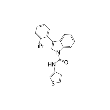 CC(C)c1ccccc1-c1cn(C(=O)Nc2ccsc2)c2ccccc12